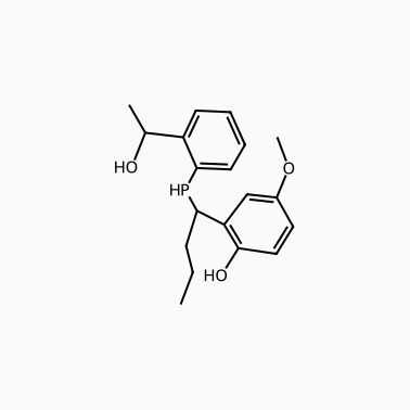 CCCC(Pc1ccccc1C(C)O)c1cc(OC)ccc1O